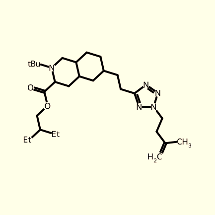 C=C(C)CCn1nnc(CCC2CCC3CN(C(C)(C)C)C(C(=O)OCC(CC)CC)CC3C2)n1